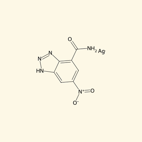 NC(=O)c1cc([N+](=O)[O-])cc2[nH]nnc12.[Ag]